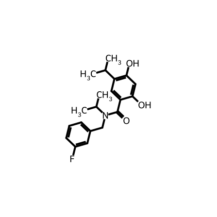 CC(C)c1cc(C(=O)N(Cc2cccc(F)c2)C(C)C)c(O)cc1O